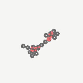 c1ccc(-c2ccc(-c3ccc(N(c4ccc(-c5ccc(-c6ccc(-c7ccc(N(c8ccccc8)c8cccc9c8C8(c%10ccccc%10-c%10cc%11c%12ccccc%12c%12ccccc%12c%11cc%108)c8ccccc8-9)cc7)cc6)cc5)cc4)c4cccc5c4C4(c6ccccc6-5)c5ccccc5-c5c4cc4c6c(cccc56)-c5ccccc5-4)cc3)cc2)cc1